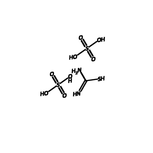 N=C(N)S.O=S(=O)(O)O.O=S(=O)(O)O